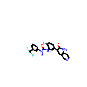 O=C(Nc1cccc(C(F)(F)F)c1)Nc1cc(-c2cc3cnccc3[nH]c2=O)ccc1F